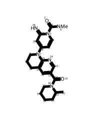 CNC(=O)n1ccc(N2CCCc3cc(C(=O)N4CCCCC4C)cnc32)cc1=N